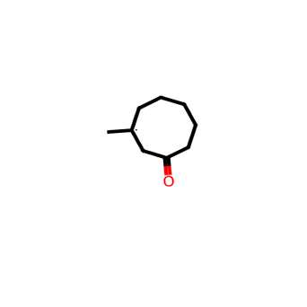 C[C]1CCCCCC(=O)C1